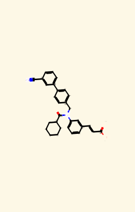 N#Cc1cccc(-c2ccc(CN(C(=O)C3CCCCC3)c3cccc(C=CC(=O)O)c3)cc2)c1